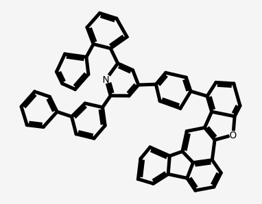 c1ccc(-c2cccc(-c3cc(-c4ccc(-c5cccc6oc7c8cccc9c8c(cc7c56)-c5ccccc5-9)cc4)cc(-c4ccccc4-c4ccccc4)n3)c2)cc1